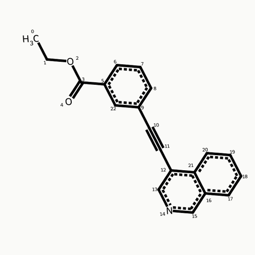 CCOC(=O)c1cccc(C#Cc2cncc3ccccc23)c1